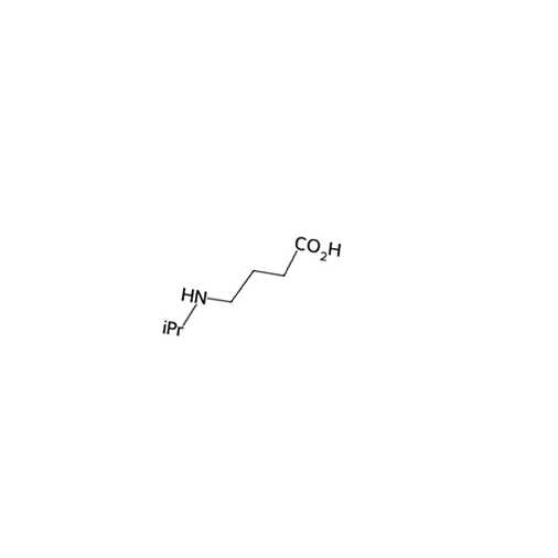 CC(C)NCCCC(=O)O